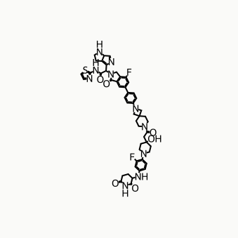 O=C1CCC(Nc2ccc(N3CCC(O)(CC(=O)N4CCC5(CC4)CN(c4ccc(-c6cc(F)c7c(c6)C(=O)N(C(C(=O)Nc6nccs6)C6=C8CCNC8C=N6)C7)cc4)C5)CC3)c(F)c2)C(=O)N1